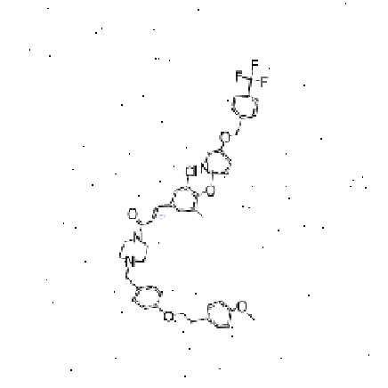 COc1ccc(CCOc2ccc(CN3CCN(C(=O)/C=C/c4cc(C)c(Oc5ccc(OCc6ccc(C(F)(F)F)cc6)cn5)c(Cl)c4)CC3)cc2)cc1